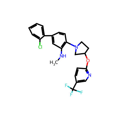 CNc1cc(-c2ccccc2Cl)ccc1N1CCC(Oc2ccc(C(F)(F)F)cn2)C1